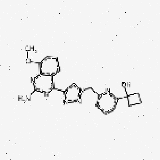 COc1cccc2c(-c3cn(Cc4cccc(C5(O)CCC5)n4)nn3)nc(N)nc12